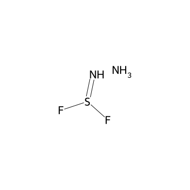 N.N=S(F)F